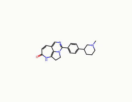 CN1CCCC(c2ccc(C3=NC=C4C=CC(=O)NC5=C4N3CC5)cc2)C1